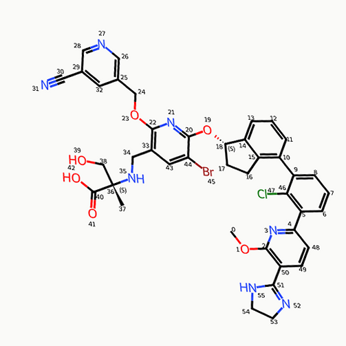 COc1nc(-c2cccc(-c3cccc4c3CC[C@@H]4Oc3nc(OCc4cncc(C#N)c4)c(CN[C@@](C)(CO)C(=O)O)cc3Br)c2Cl)ccc1C1=NCCN1